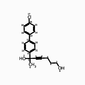 CC(O)(C#CCCCO)c1ccc(-c2ccc(Cl)cc2)cc1